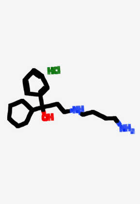 Cl.NCCCCNCCC(O)(c1ccccc1)C1CCCCC1